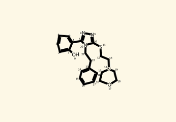 Oc1ccccc1-c1nnc(SCCN2CCOCC2)n1CCc1ccccc1